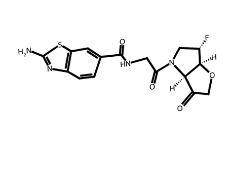 Nc1nc2ccc(C(=O)NCC(=O)N3C[C@H](F)[C@H]4OCC(=O)[C@H]43)cc2s1